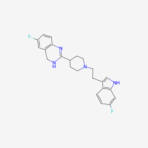 Fc1ccc2c(c1)CNC(C1CCN(CCc3c[nH]c4cc(F)ccc34)CC1)=N2